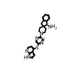 N[C@@H]1c2ccccc2CC12CCN(c1ncc(Sc3ccnc4[nH]ccc34)nn1)CC2